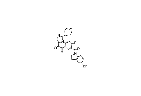 O=C(c1cc2[nH]c(=O)c3cnc(C4CCOCC4)n3c2cc1F)N1CCc2cc(Br)cnc21